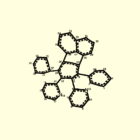 c1ccc(-c2c(-c3ccccn3)c(-c3ccccn3)c(-c3ccccc3)c3c2-c2cccc4cccc-3c24)cc1